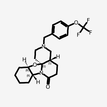 O=C1CC[C@H]2CN(Cc3ccc(OC(F)(F)F)cc3)CC[C@]23O[C@@H]2CCCC[C@H]2N13